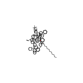 C=CCO[C@H]1O[C@H](CO[Si](C)(C)C(C)(C)C)[C@@H](OP(=O)(Oc2ccccc2)Oc2ccccc2)[C@H](OCC[C@@H](CCCCCCCCCCC)OCc2ccc(OC)cc2)[C@H]1NC(=O)OCC(Cl)(Cl)Cl